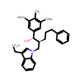 COc1cc([C@@H](O)[C@@H](CCCc2ccccc2)Cn2cc(CC(=O)O)c3ccccc32)cc(OC)c1C